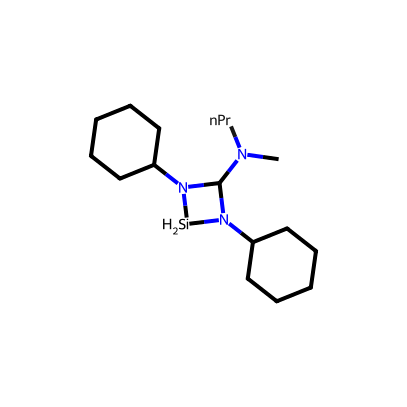 CCCN(C)C1N(C2CCCCC2)[SiH2]N1C1CCCCC1